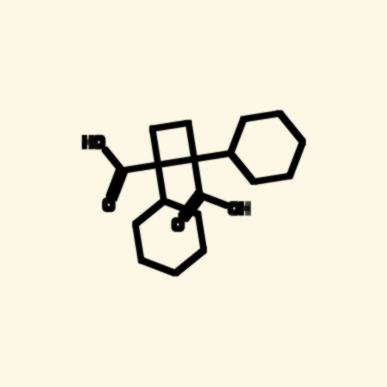 O=C(O)C1(C2CCCCC2)CCC1(C(=O)O)C1CCCCC1